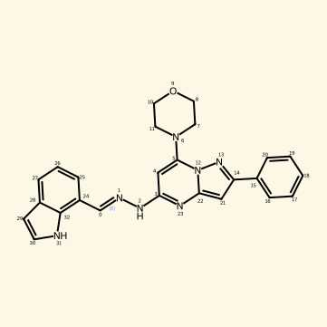 C(=N\Nc1cc(N2CCOCC2)n2nc(-c3ccccc3)cc2n1)/c1cccc2cc[nH]c12